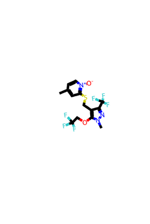 Cc1cc[n+]([O-])c(SCc2c(C(F)(F)F)nn(C)c2OCC(F)(F)F)c1